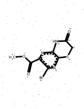 COC(=O)c1nc2c(nc1Br)SCC(=O)N2